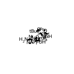 CC(C)OC(=O)[C@@H](C)NP(=S)(OCCSC(=O)C(C)(C)C)OC[C@H]1O[C@@H](n2cnc3c(N)ncnc32)[C@](F)(Cl)[C@@H]1O